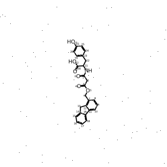 O=C(CC(=O)OCc1cccc2c1Cc1ccccc1-2)NC(Cc1ccc(O)cc1)C(=O)O